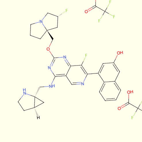 O=C(O)C(F)(F)F.O=C(O)C(F)(F)F.Oc1cc(-c2ncc3c(NC[C@]45C[C@H]4CCN5)nc(OC[C@@]45CCCN4C[C@H](F)C5)nc3c2F)c2ccccc2c1